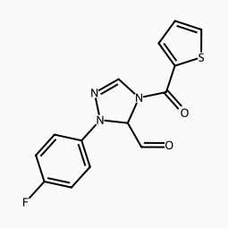 O=CC1N(C(=O)c2cccs2)C=NN1c1ccc(F)cc1